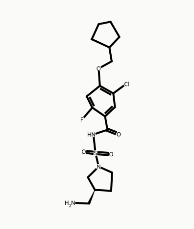 NC[C@@H]1CCN(S(=O)(=O)NC(=O)c2cc(Cl)c(OCC3CCCC3)cc2F)C1